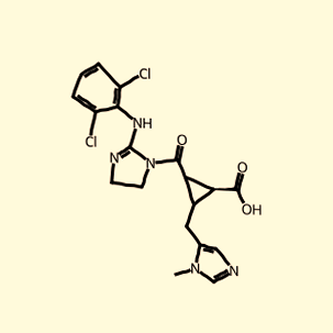 Cn1cncc1CC1C(C(=O)N2CCN=C2Nc2c(Cl)cccc2Cl)[C@H]1C(=O)O